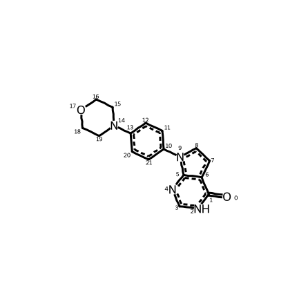 O=c1[nH]cnc2c1ccn2-c1ccc(N2CCOCC2)cc1